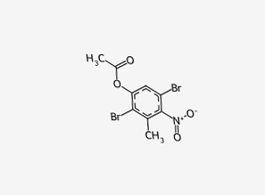 CC(=O)Oc1cc(Br)c([N+](=O)[O-])c(C)c1Br